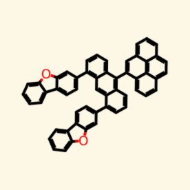 c1cc2ccc3cccc4c(-c5c6cccc(-c7ccc8c(c7)oc7ccccc78)c6cc6c(-c7ccc8c(c7)oc7ccccc78)cccc56)cc(c1)c2c34